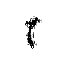 C=CC(=O)N1CCN(c2ncnc3c(F)c(-c4c(O)cccc4F)c(Cl)cc23)C(CC(=O)NCCCCCNC(=O)NCc2cc3c(s2)C(=O)N(C2CCC(=O)NC2=O)C3)C1